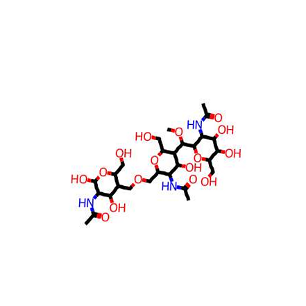 COC(C1OC(CO)C(O)C(O)C1NC(C)=O)C1C(CO)OC(COCC2C(CO)OC(O)C(NC(C)=O)C2O)C(NC(C)=O)C1O